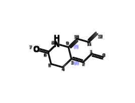 C=C/C=C1/CCC(=O)N/C1=C/C=C